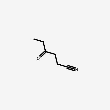 [CH2]CC(=O)CCC#N